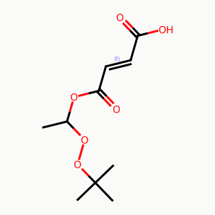 CC(OOC(C)(C)C)OC(=O)/C=C/C(=O)O